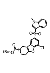 Cn1cc(S(=O)(=O)c2cc(Cl)c3oc4c(c3c2)CN(C(=O)OC(C)(C)C)CC4)c2ccccc21